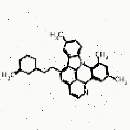 C=C1CCCC(CCc2cc3ccnc4c5cc(C)cc(C)c5n5c6ccc(C)cc6c2c5c34)C1